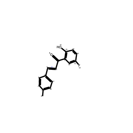 Cc1ccc(/C=C/C(=O)c2cc(F)ccc2O)cc1